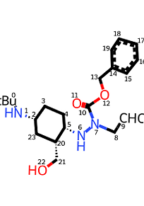 CC(C)(C)N[C@@H]1CC[C@H](NN(CC=O)C(=O)OCc2ccccc2)[C@H](CO)C1